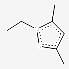 [CH2]Cn1nc(C)cc1C